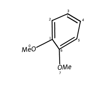 COc1c[c]ccc1OC